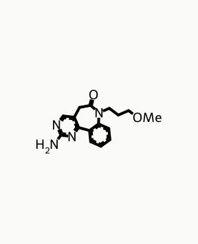 COCCCN1C(=O)Cc2cnc(N)nc2-c2ccccc21